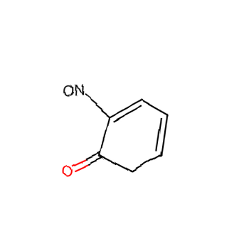 O=NC1=CC=CCC1=O